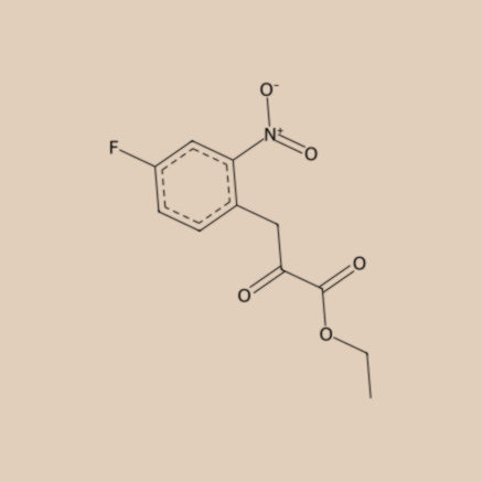 CCOC(=O)C(=O)Cc1ccc(F)cc1[N+](=O)[O-]